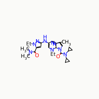 CCN1C=C(Nc2cc(C(=O)N(C)C)n(CC)n2)C2=NCN(C)C23C=CN(C(=O)N(C2CC2)C2CC2)C13